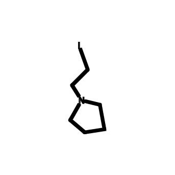 ICCN1CCCC1